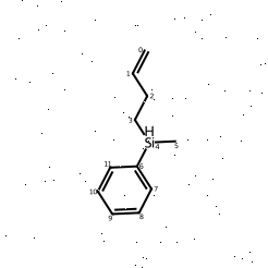 C=CCC[SiH](C)c1ccccc1